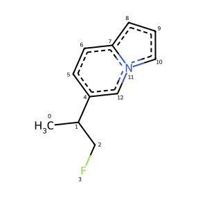 CC(CF)c1ccc2cccn2c1